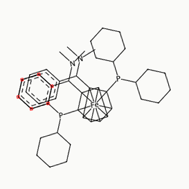 CN(C)C(c1ccccc1)[C]12[CH]3[CH]4[CH]5[C]1(P(C1CCCCC1)C1CCCCC1)[Fe]43521678[CH]2[CH]1[C]6(C(c1ccccc1)N(C)C)[C]7(P(C1CCCCC1)C1CCCCC1)[CH]28